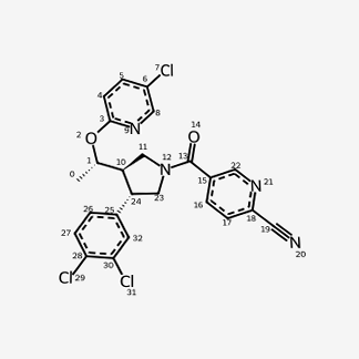 C[C@H](Oc1ccc(Cl)cn1)[C@H]1CN(C(=O)c2ccc(C#N)nc2)C[C@@H]1c1ccc(Cl)c(Cl)c1